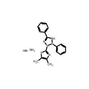 Br.Cc1nc(N2N=C(c3ccccc3)NN2c2ccccc2)sc1C.N